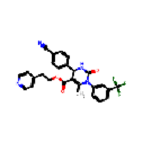 CC1=C(C(=O)OCCc2ccncc2)C(c2ccc(C#N)cc2)NC(=O)N1c1cccc(C(F)(F)F)c1